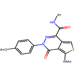 CNc1scc2c(C(=O)NC(C)C)nn(-c3ccc(OC)cc3)c(=O)c12